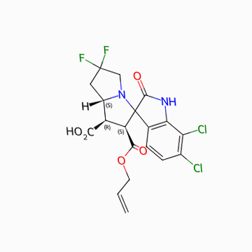 C=CCOC(=O)[C@H]1[C@@H](C(=O)O)[C@@H]2CC(F)(F)CN2C12C(=O)Nc1c2ccc(Cl)c1Cl